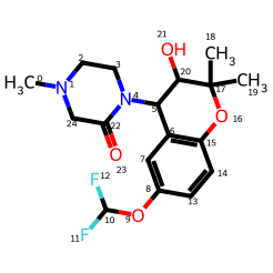 CN1CCN(C2c3cc(OC(F)F)ccc3OC(C)(C)C2O)C(=O)C1